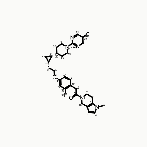 Cn1ccc2c1CCN(C(=O)Cc1ccc(OCC[C@@H]3C[C@@H]3C3CCN(C4=NCC(Cl)C=N4)CC3)cc1F)C2